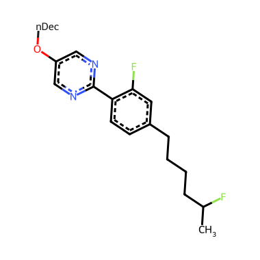 CCCCCCCCCCOc1cnc(-c2ccc(CCCCC(C)F)cc2F)nc1